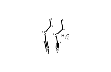 CCSC#N.CCSC#N.O